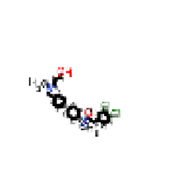 CN(CCCO)Cc1ccc([C@H]2CC[C@H](N(C)C(=O)Cc3ccc(Cl)c(Cl)c3)CC2)cc1